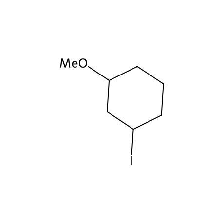 COC1CCCC(I)C1